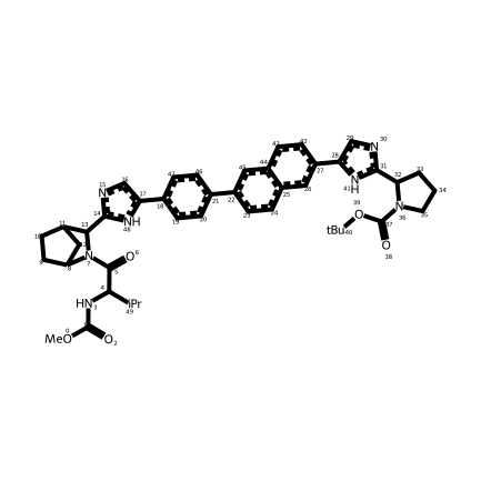 COC(=O)NC(C(=O)N1C2CCC(C2)C1c1ncc(-c2ccc(-c3ccc4cc(-c5cnc(C6CCCN6C(=O)OC(C)(C)C)[nH]5)ccc4c3)cc2)[nH]1)C(C)C